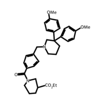 CCOC(=O)C1CCCN(C(=O)c2ccc(CN3CCCC(c4ccc(OC)cc4)(c4ccc(OC)cc4)C3)cc2)C1